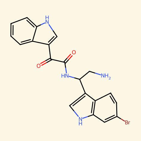 NCC(NC(=O)C(=O)c1c[nH]c2ccccc12)c1c[nH]c2cc(Br)ccc12